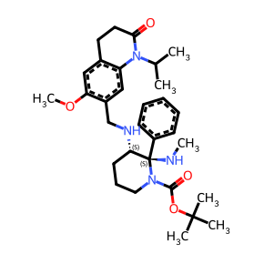 CN[C@]1(c2ccccc2)[C@@H](NCc2cc3c(cc2OC)CCC(=O)N3C(C)C)CCCN1C(=O)OC(C)(C)C